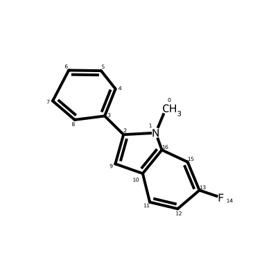 Cn1c(-c2ccccc2)cc2ccc(F)cc21